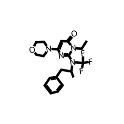 CCn1c(N(C(C)Cc2ccccc2)C(F)(F)F)nc(N2CCOCC2)cc1=O